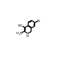 N#CC1=C(N)NCc2cc(Br)ccc21